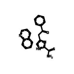 NC(=S)c1nc(CC(=O)c2ccccc2)c[nH]1.c1ccc2ncccc2c1